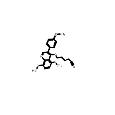 COc1ccc(-c2cnc3c(OC)ccc(OC)c3c2OCCCCC#N)cc1